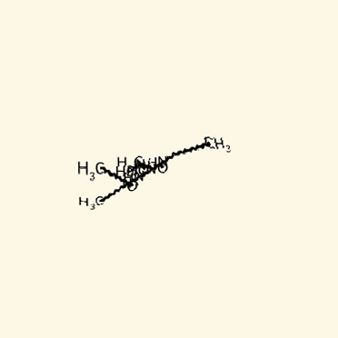 CCCCCCCCCCCCCCCCNC(=O)CCN(CCCNCCC(=O)N(CCCCCCCCCC)CCCCCCCCCC)CC(O)CN(C)CCO